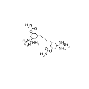 NC(=O)OC1CC(CCCCCC2CC(OC(N)=O)CC(C(N)(N)N)C2)CC(C(N)(N)N)C1